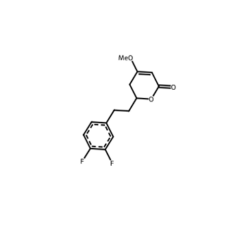 COC1=CC(=O)OC(CCc2ccc(F)c(F)c2)C1